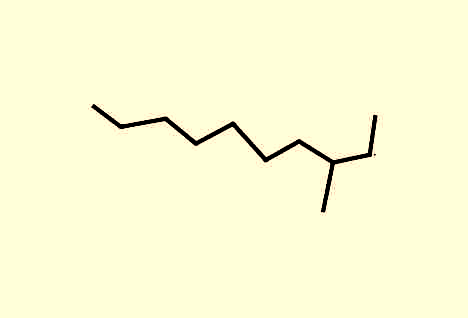 C[CH]C(C)CCCCCCC